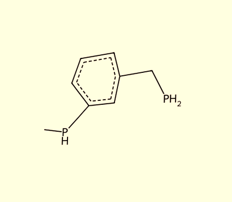 CPc1cccc(CP)c1